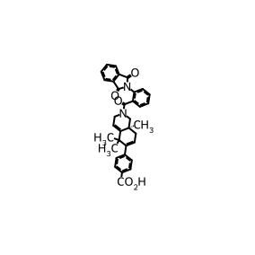 CC1(C)C(c2ccc(C(=O)O)cc2)=CC[C@]2(C)CN(C(=O)c3ccccc3N3C(=O)c4ccccc4C3=O)CC=C12